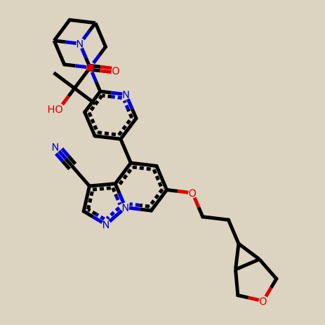 CC(C)(O)C(=O)N1C2CC1CN(c1ccc(-c3cc(OCCC4C5COCC45)cn4ncc(C#N)c34)cn1)C2